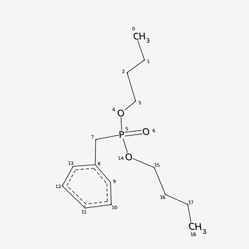 CCCCOP(=O)(Cc1cc[c]cc1)OCCCC